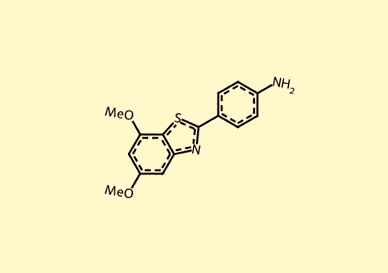 COc1cc(OC)c2sc(-c3ccc(N)cc3)nc2c1